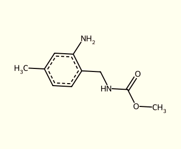 COC(=O)NCc1ccc(C)cc1N